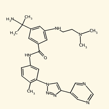 Cc1ccc(NC(=O)c2cc(NCCN(C)C)cc(C(C)(C)N)c2)cc1-n1cc(-c2cncnc2)nn1